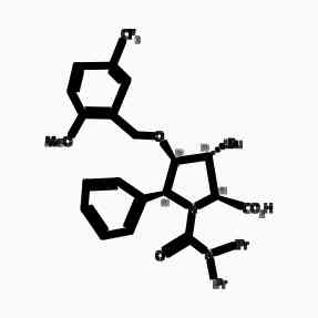 COc1ccc(C(F)(F)F)cc1CO[C@H]1[C@H](C(C)(C)C)[C@@H](C(=O)O)N(C(=O)N(C(C)C)C(C)C)[C@H]1c1ccccc1